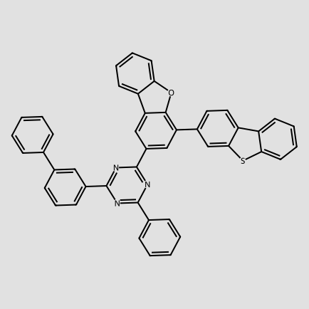 c1ccc(-c2cccc(-c3nc(-c4ccccc4)nc(-c4cc(-c5ccc6c(c5)sc5ccccc56)c5oc6ccccc6c5c4)n3)c2)cc1